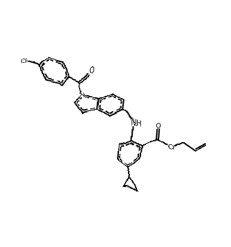 C=CCOC(=O)c1cc(C2CC2)ccc1Nc1ccc2c(ccn2C(=O)c2ccc(Cl)cc2)c1